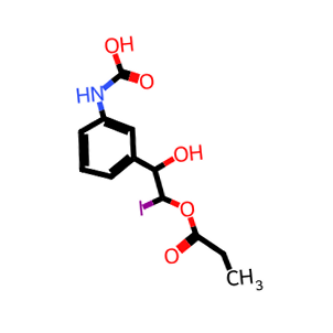 CCC(=O)OC(I)C(O)c1cccc(NC(=O)O)c1